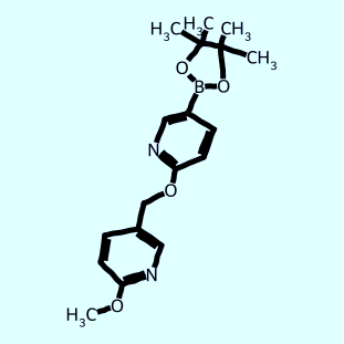 COc1ccc(COc2ccc(B3OC(C)(C)C(C)(C)O3)cn2)cn1